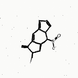 C=C1C2=CC3=CC=CC3C([N+](=O)[O-])C2CC1I